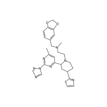 Cc1cc(C2CC(c3nccs3)CCN2CCN(C)Cc2ccc3c(c2)OCO3)nc(-n2cncn2)n1